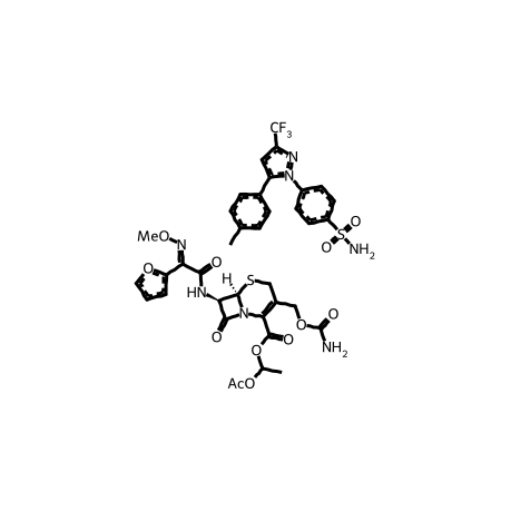 CO/N=C(/C(=O)N[C@@H]1C(=O)N2C(C(=O)OC(C)OC(C)=O)=C(COC(N)=O)CS[C@H]12)c1ccco1.Cc1ccc(-c2cc(C(F)(F)F)nn2-c2ccc(S(N)(=O)=O)cc2)cc1